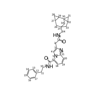 O=C(Cc1cn2c(C(=O)NCCc3ccccc3)cccc2n1)NCC12CC3CC3C3(CC3C1)C2